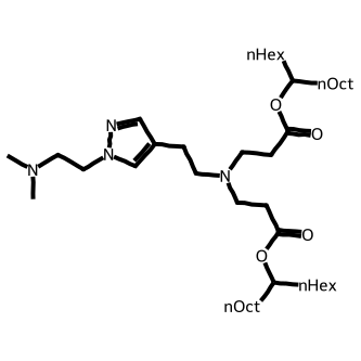 CCCCCCCCC(CCCCCC)OC(=O)CCN(CCC(=O)OC(CCCCCC)CCCCCCCC)CCc1cnn(CCN(C)C)c1